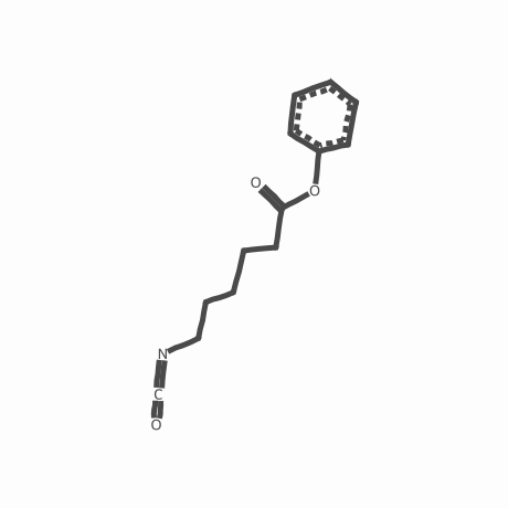 O=C=NCCCCCC(=O)Oc1cc[c]cc1